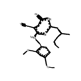 CCC(C)Cc1nc(Nc2ccc(OC)cc2OC)c(C#N)c(=O)[nH]1